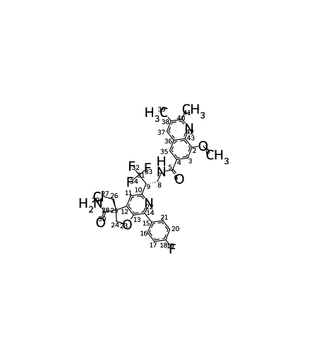 COc1cc(C(=O)NC[C@H](c2cc3c(c(-c4ccc(F)cc4)n2)OC[C@]3(CCl)C(N)=O)C(F)(F)F)cc2cc(C)c(C)nc12